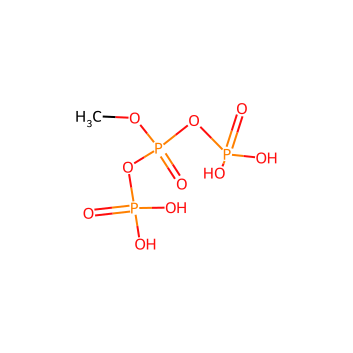 COP(=O)(OP(=O)(O)O)OP(=O)(O)O